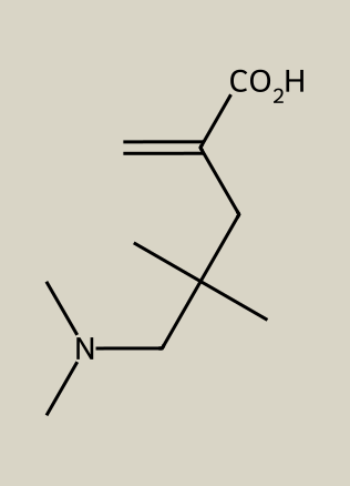 C=C(CC(C)(C)CN(C)C)C(=O)O